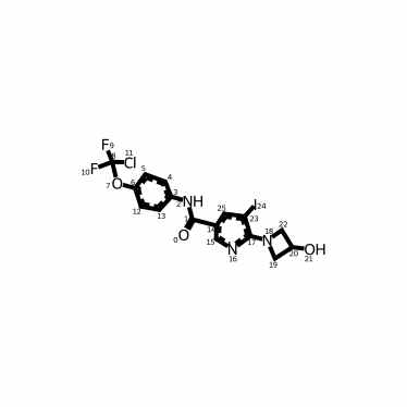 O=C(Nc1ccc(OC(F)(F)Cl)cc1)c1cnc(N2CC(O)C2)c(I)c1